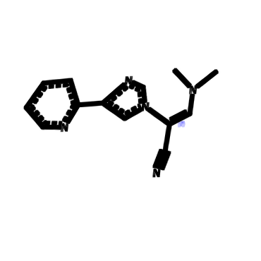 CN(C)/C=C(/C#N)n1cnc(-c2ccccn2)c1